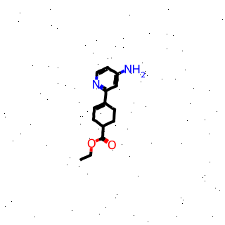 CCOC(=O)C1CC=C(c2cc(N)ccn2)CC1